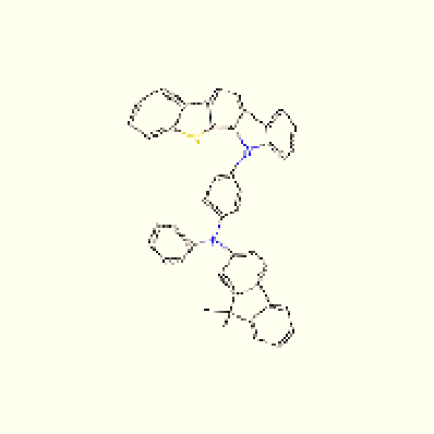 CC1(C)c2ccccc2-c2ccc(N(c3ccccc3)c3ccc(-n4c5ccccc5c5ccc6c7ccccc7sc6c54)cc3)cc21